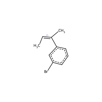 C/C=C(/C)c1cccc(Br)c1